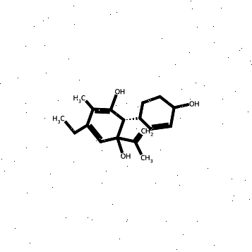 C=C(C)C1(O)C=C(CC)C(C)=C(O)[C@@H]1C1C=CC(O)CC1